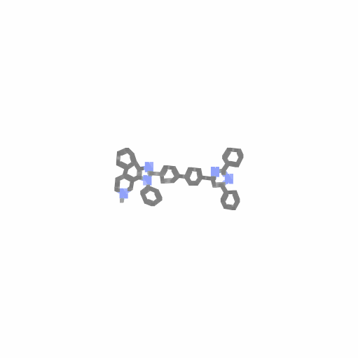 CN1C=Cc2c(c3c(nc(-c4ccc(-c5ccc(-c6cc(-c7ccccc7)nc(-c7ccccc7)n6)cc5)cc4)n3-c3ccccc3)c3ccccc23)C1